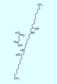 CCCCCCCCCC(O)CNCCCCCCNCC(O)CCCCCCCCC.O=C(O)CCC(=O)O